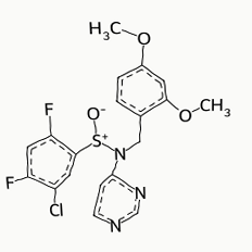 COc1ccc(CN(c2ccncn2)[S+]([O-])c2cc(Cl)c(F)cc2F)c(OC)c1